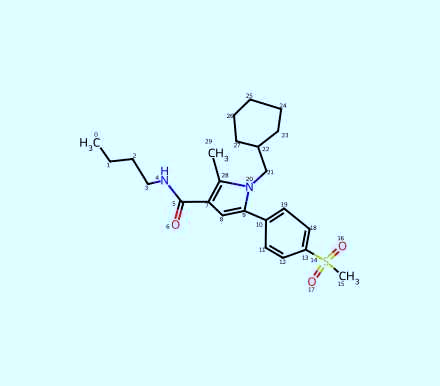 CCCCNC(=O)c1cc(-c2ccc(S(C)(=O)=O)cc2)n(CC2CCCCC2)c1C